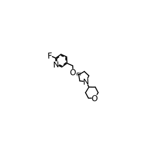 Fc1ccc(CO[C@@H]2CCN(C3CCOCC3)C2)cn1